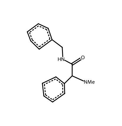 CNC(C(=O)NCc1ccccc1)c1ccccc1